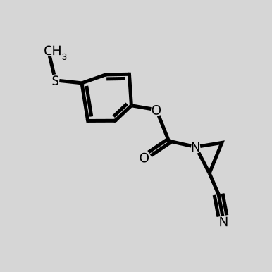 CSc1ccc(OC(=O)N2CC2C#N)cc1